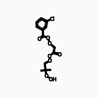 CC(C)(COOC(=O)COOC(=O)c1cccc(Cl)c1)OO